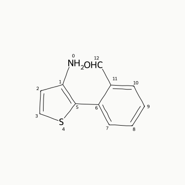 Nc1ccsc1-c1ccccc1C=O